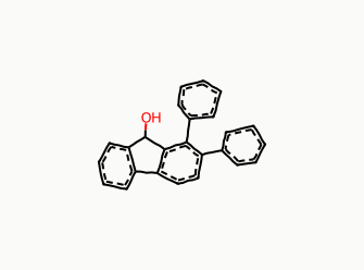 OC1c2ccccc2-c2ccc(-c3ccccc3)c(-c3ccccc3)c21